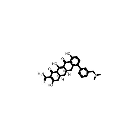 CN(C)Cc1cccc(-c2ccc(O)c3c2C[C@H]2C[C@H]4CC(O)=C(C(N)=O)C(=O)C4C(O)=C2C3=O)c1